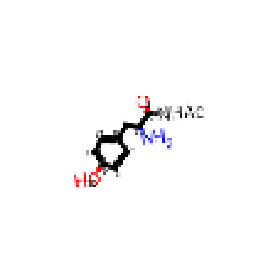 CC(=O)NC(=O)[C@@H](N)Cc1ccc(O)cc1